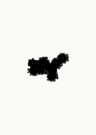 O=P1(c2ccccc2)c2ccccc2-c2ccc3c(c21)c1ccccc1n3-c1nc(-c2ccccc2)nc(-c2ccc(-c3ccccc3)cc2)n1